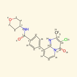 O=C(NC1CCOCC1)c1ccc(-c2cccn3c(=O)c(Cl)c(C(F)(F)F)nc23)cc1